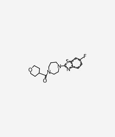 O=C(C1CCOCC1)N1CCCN(c2nc3ccc(F)cc3s2)CC1